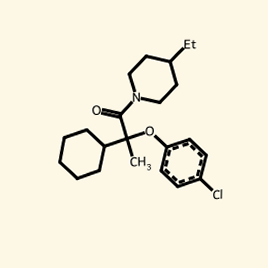 CCC1CCN(C(=O)C(C)(Oc2ccc(Cl)cc2)C2CCCCC2)CC1